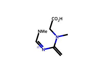 C=C(/N=C\NC)N(C)CC(=O)O